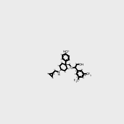 Cl.OCC(OC[C@]1(c2ccccc2)CC[C@@H](NCC2CC2)CC1)c1cc(C(F)(F)F)cc(C(F)(F)F)c1